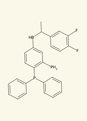 CC(Bc1ccc(P(c2ccccc2)c2ccccc2)c(P)c1)c1ccc(F)c(F)c1